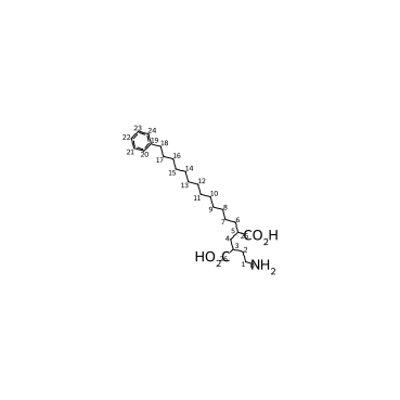 NCCC(CC(CCCCCCCCCCCCCc1ccccc1)C(=O)O)C(=O)O